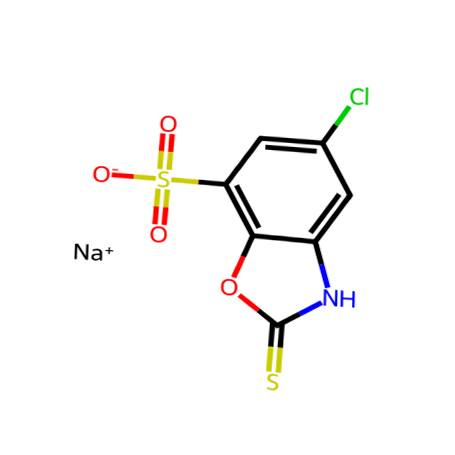 O=S(=O)([O-])c1cc(Cl)cc2[nH]c(=S)oc12.[Na+]